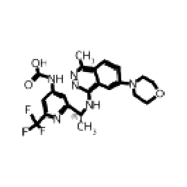 Cc1nnc(N[C@H](C)c2cc(NC(=O)O)cc(C(F)(F)F)n2)c2cc(N3CCOCC3)ccc12